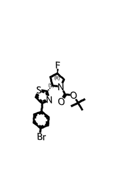 CC(C)(C)OC(=O)N1C[C@H](F)C[C@H]1c1nc(-c2ccc(Br)cc2)cs1